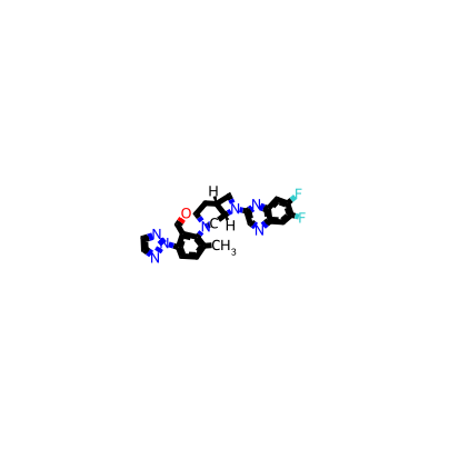 Cc1ccc(-n2nccn2)c(C=O)c1N1CC[C@@H]2CN(c3cnc4cc(F)c(F)cc4n3)[C@@H]2C1